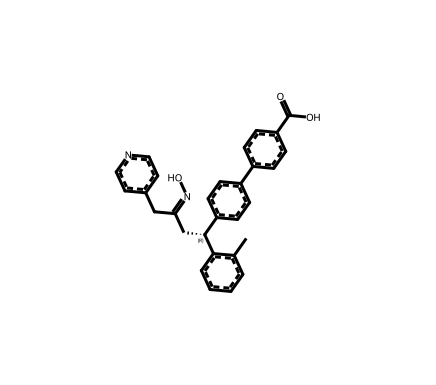 Cc1ccccc1[C@H](CC(Cc1ccncc1)=NO)c1ccc(-c2ccc(C(=O)O)cc2)cc1